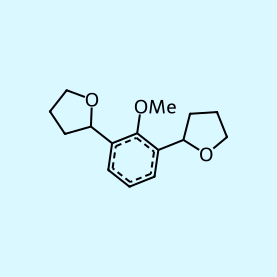 COc1c(C2CCCO2)cccc1C1CCCO1